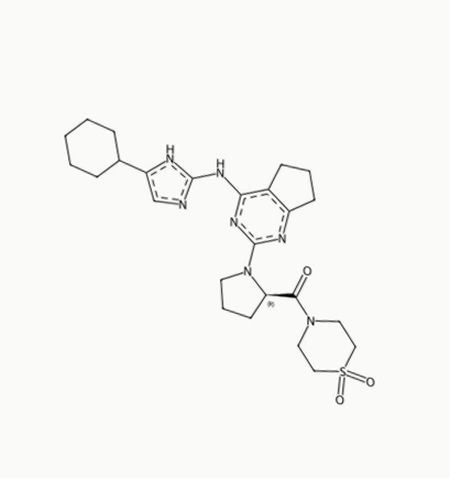 O=C([C@H]1CCCN1c1nc2c(c(Nc3ncc(C4CCCCC4)[nH]3)n1)CCC2)N1CCS(=O)(=O)CC1